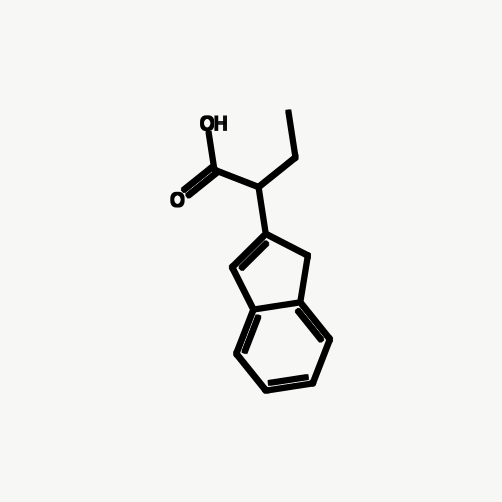 CCC(C(=O)O)C1=Cc2ccccc2C1